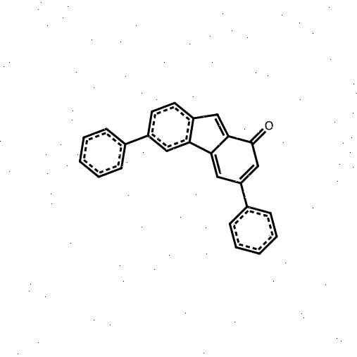 O=C1C=C(c2ccccc2)C=C2C1=Cc1ccc(-c3ccccc3)cc12